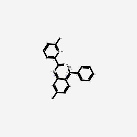 C=C(/N=C1/C=C(C)C=C/C1=C(/N)c1ccccc1)c1cccc(C)n1